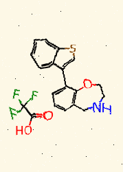 O=C(O)C(F)(F)F.c1cc2c(c(-c3csc4ccccc34)c1)OCCNC2